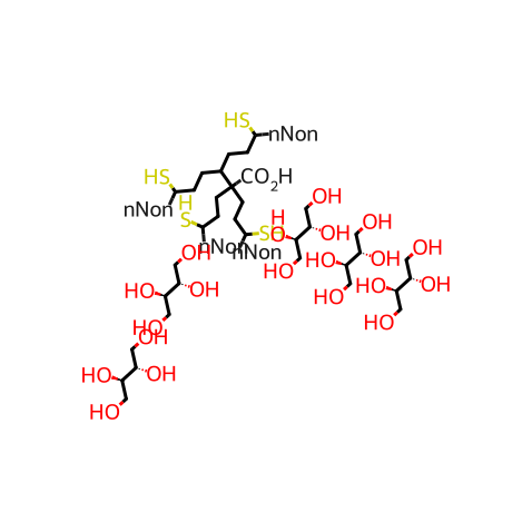 CCCCCCCCCC(S)CCC(CCC(S)CCCCCCCCC)C(CCC(S)CCCCCCCCC)(CCC(S)CCCCCCCCC)C(=O)O.OC[C@@H](O)[C@@H](O)CO.OC[C@@H](O)[C@@H](O)CO.OC[C@@H](O)[C@@H](O)CO.OC[C@@H](O)[C@@H](O)CO.OC[C@@H](O)[C@@H](O)CO